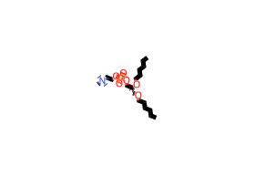 CCCCCCOC[C@H](COP(=O)([O-])OCC[N+](C)(C)C)OCCCCCC